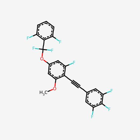 COc1cc(OC(F)(F)c2c(F)cccc2F)cc(F)c1C#Cc1cc(F)c(F)c(F)c1